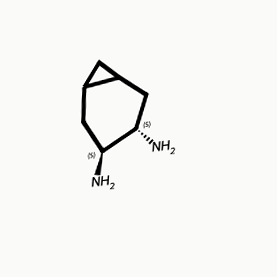 N[C@H]1CC2CC2C[C@@H]1N